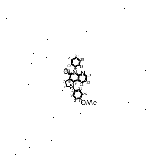 COc1ccc(N2CCc3c2c2cccnc2n(-c2ccccc2)c3=O)cc1